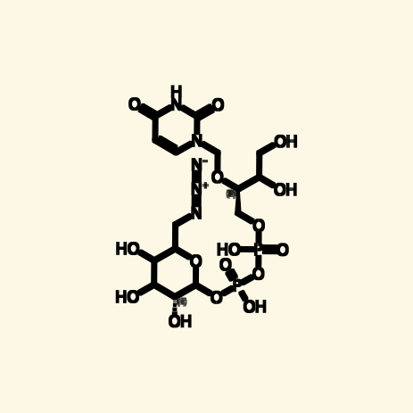 [N-]=[N+]=NCC1OC(OP(=O)(O)OP(=O)(O)OC[C@@H](OCn2ccc(=O)[nH]c2=O)C(O)CO)[C@H](O)C(O)C1O